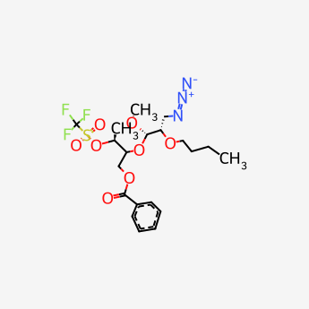 CCCCO[C@@H](CN=[N+]=[N-])[C@@H](OC)OC(COC(=O)c1ccccc1)[C@H](C)OS(=O)(=O)C(F)(F)F